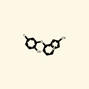 N#Cc1cc2c(Oc3cc(F)ccc3O)cccn2c1